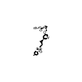 Cc1ccc(S(=O)(=O)OCCC2C[C@H]2c2cncc(OC[C@@H]3CCN3C(=O)OC(C)(C)C)c2)cc1